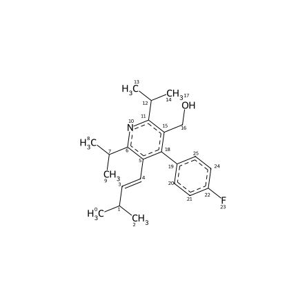 CC(C)/C=C/c1c(C(C)C)nc(C(C)C)c(CO)c1-c1ccc(F)cc1